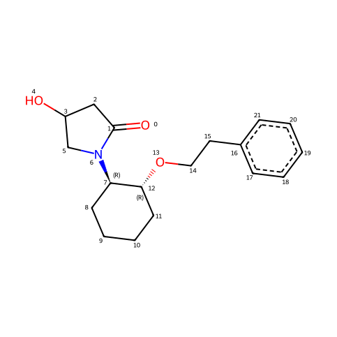 O=C1CC(O)CN1[C@@H]1CCCC[C@H]1OCCc1ccccc1